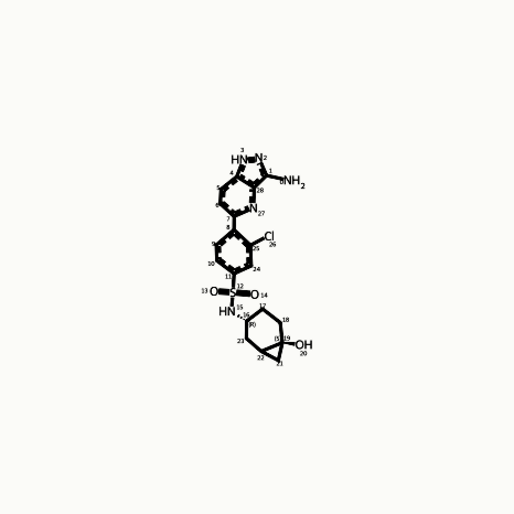 Nc1n[nH]c2ccc(-c3ccc(S(=O)(=O)N[C@@H]4CC[C@]5(O)CC5C4)cc3Cl)nc12